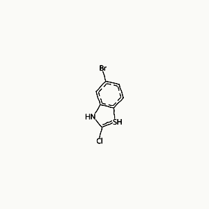 ClC1=[SH]c2ccc(Br)cc2N1